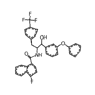 O=C(NC(Cc1ccc(C(F)(F)F)cc1)C(O)c1cccc(Oc2ccccc2)c1)c1ccc(F)c2ccccc12